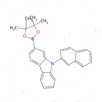 CC1(C)OB(c2ccc3c4ccccc4n(-c4ccc5ccccc5c4)c3c2)OC1(C)C